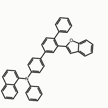 c1ccc(-c2ccc(-c3ccc(N(c4ccccc4)c4cccc5ccccc45)cc3)cc2-c2cc3ccccc3o2)cc1